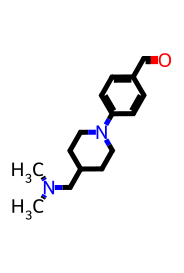 CN(C)CC1CCN(c2ccc(C=O)cc2)CC1